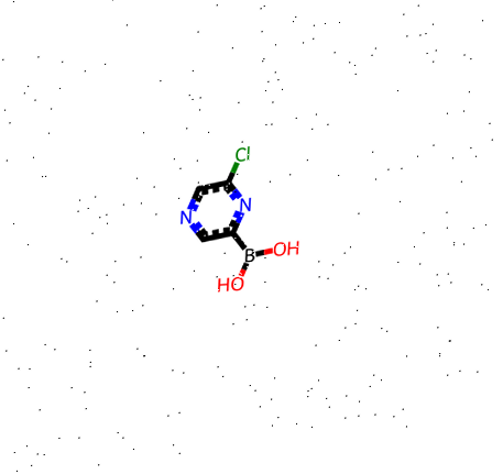 OB(O)c1cncc(Cl)n1